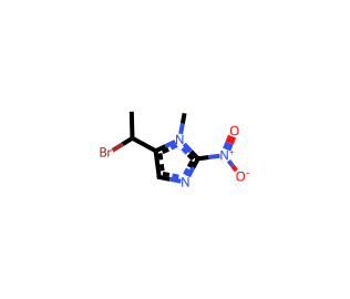 CC(Br)c1cnc([N+](=O)[O-])n1C